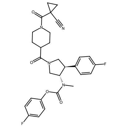 CN(C(=O)Oc1ccc(F)cc1)[C@@H]1CN(C(=O)C2CCN(C(=O)C3(C#N)CC3)CC2)C[C@H]1c1ccc(F)cc1